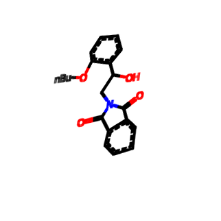 CCCCOc1ccccc1C(O)CN1C(=O)c2ccccc2C1=O